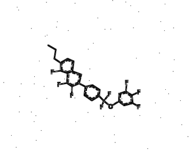 CCCc1ccc2cc(-c3ccc(C(F)(F)Oc4cc(F)c(F)c(F)c4)cc3)c(F)c(F)c2c1F